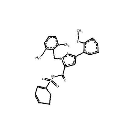 COc1ccccc1-c1cc(C(=O)NS(=O)(=O)C2=CC=CCC2)n(Cc2c(C)cccc2C)n1